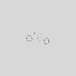 O=C1c2cccc(F)c2CC(Nc2ccccc2)(C(F)(F)F)N1CCO